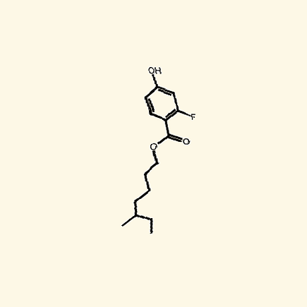 CCC(C)CCCCOC(=O)c1ccc(O)cc1F